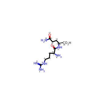 N=C(N)NCCC[C@H](N)C(=O)N[C@@H](CCC(N)=O)C(=O)O